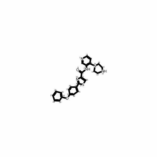 O=C(Nc1cnccc1N1CCNCC1)c1csc(-c2ccc(Oc3ccccc3)cc2)n1